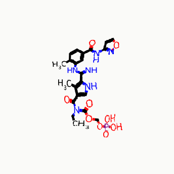 CCN(C(=O)OCOP(=O)(O)O)C(=O)c1c[nH]c(C(=N)Nc2cc(C(=O)Nc3ccon3)ccc2C)c1C